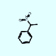 CC(c1cc[c]cc1)[SH](=O)=O